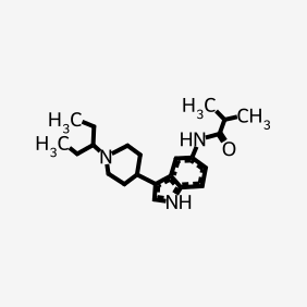 CCC(CC)N1CCC(c2c[nH]c3ccc(NC(=O)C(C)C)cc23)CC1